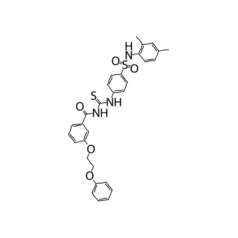 Cc1ccc(NS(=O)(=O)c2ccc(NC(=S)NC(=O)c3cccc(OCCOc4ccccc4)c3)cc2)c(C)c1